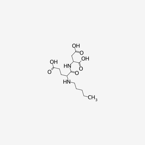 CCCCCNC(CCC(=O)O)C(=O)NC(CC(=O)O)C(=O)O